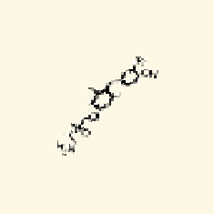 Cc1cc(OCC(=O)O[C@@H](C)CN)cc(C)c1Cc1ccc(O)c(C(C)C)c1